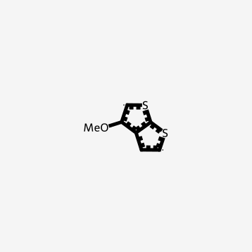 COc1[c]sc2s[c]cc12